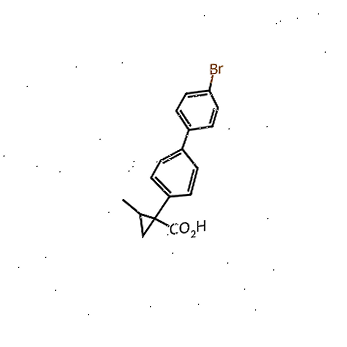 CC1CC1(C(=O)O)c1ccc(-c2ccc(Br)cc2)cc1